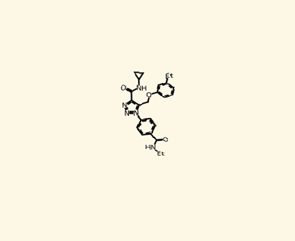 CCNC(=O)c1ccc(-n2nnc(C(=O)NC3CC3)c2COc2cccc(CC)c2)cc1